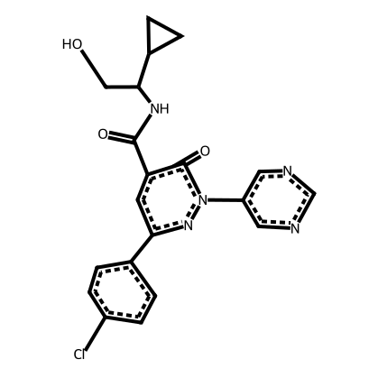 O=C(NC(CO)C1CC1)c1cc(-c2ccc(Cl)cc2)nn(-c2cncnc2)c1=O